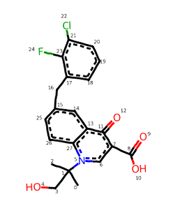 CC(C)(CO)n1cc(C(=O)O)c(=O)c2cc(Cc3cccc(Cl)c3F)ccc21